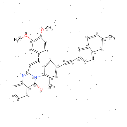 COc1ccc(/C=C/c2nc3ccccc3c(=O)n2-c2ccc(C#Cc3ccc4cc(C)ccc4c3)cc2C)cc1OC